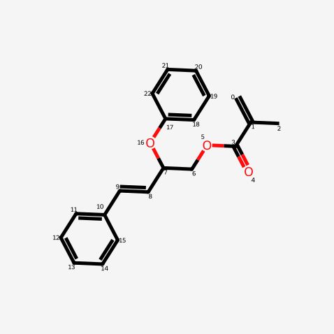 C=C(C)C(=O)OCC(C=Cc1ccccc1)Oc1ccccc1